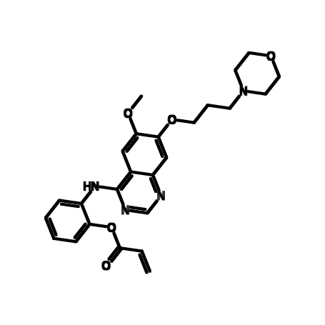 C=CC(=O)Oc1ccccc1Nc1ncnc2cc(OCCCN3CCOCC3)c(OC)cc12